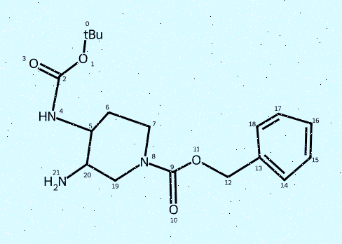 CC(C)(C)OC(=O)NC1CCN(C(=O)OCc2ccccc2)CC1N